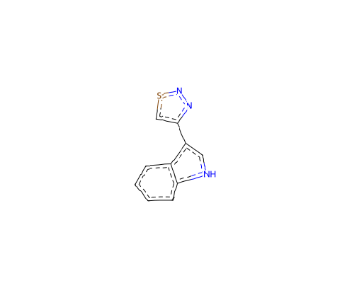 c1ccc2c(-c3csnn3)c[nH]c2c1